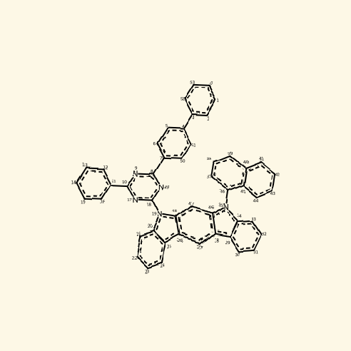 c1ccc(-c2ccc(-c3nc(-c4ccccc4)nc(-n4c5ccccc5c5cc6c7ccccc7n(-c7cccc8ccccc78)c6cc54)n3)cc2)cc1